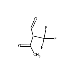 CC(=O)C(C=O)C(F)(F)F